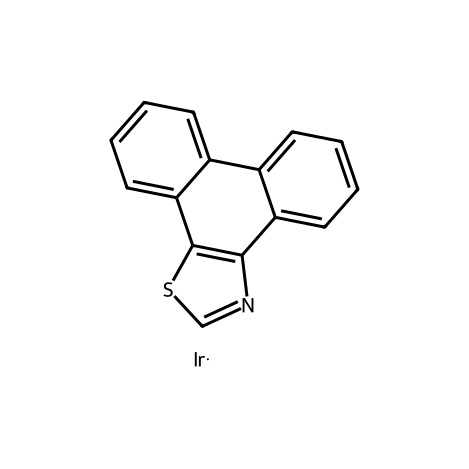 [Ir].c1ccc2c(c1)c1ccccc1c1scnc21